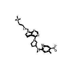 Cc1cc(N(C)C2CCN(c3ncnc4c3ccn4COCC[Si](C)(C)C)C2)ncc1[N+](=O)[O-]